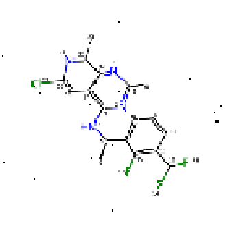 Cc1nc(N[C@H](C)c2cccc(C(F)F)c2F)c2cc(Cl)nc(C)c2n1